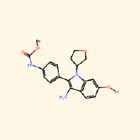 CCOc1ccc2c(N)c(-c3ccc(NC(=O)OC(C)C)cc3)n(C3CCOC3)c2c1